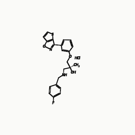 C[C@](O)(CNCc1ccc(F)cc1)COc1cccc(-c2noc3ccsc23)c1.Cl